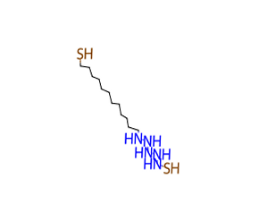 SCCCCCCCCCCCCNNNNNS